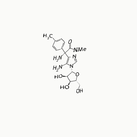 CNC(=O)C(N)(c1ccc(C)cc1)c1ncn([C@@H]2O[C@H](CO)[C@@H](O)[C@H]2O)c1N